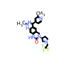 CN/N=C(/c1ccnc(C)c1)c1ccc2c(c1)CN(C1CCN(CC(F)(F)F)C1)C(=O)N2